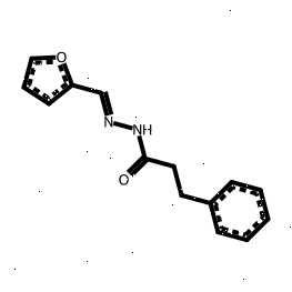 O=C(CCc1ccccc1)N/N=C/c1ccco1